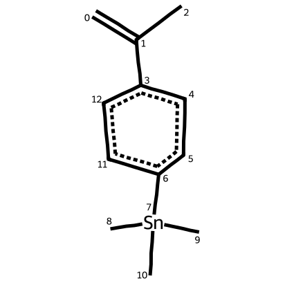 C=C(C)c1cc[c]([Sn]([CH3])([CH3])[CH3])cc1